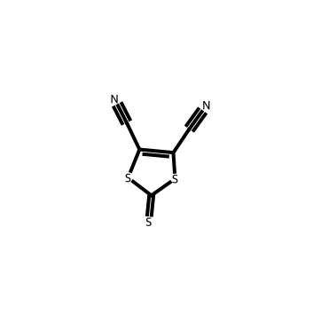 N#Cc1sc(=S)sc1C#N